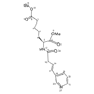 COC(=O)[C@H](CCCCC(=O)OC(C)(C)C)NC(=O)CC=Cc1cccnc1